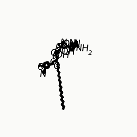 CCCCCCCCCCCCCCCCCCOC[C@H](COP(=O)(O)OC[C@@](C#N)(OC)[C@@H](O)[C@@H](O)c1ccc2c(N)ncnn12)OCc1ccc(OC)c(C#N)c1